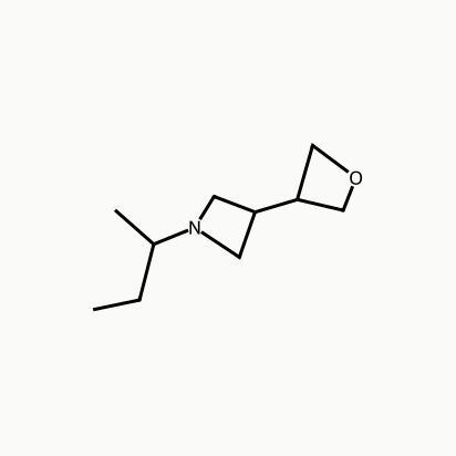 CCC(C)N1CC(C2COC2)C1